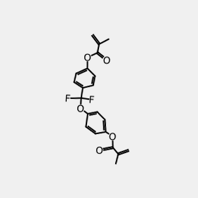 C=C(C)C(=O)Oc1ccc(OC(F)(F)c2ccc(OC(=O)C(=C)C)cc2)cc1